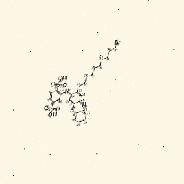 O=S(=O)(O)c1ccc(S(=O)(=O)O)c(N=c2cc3sc4ccccc4nc-3cc2CCCCCCCCCCBr)c1